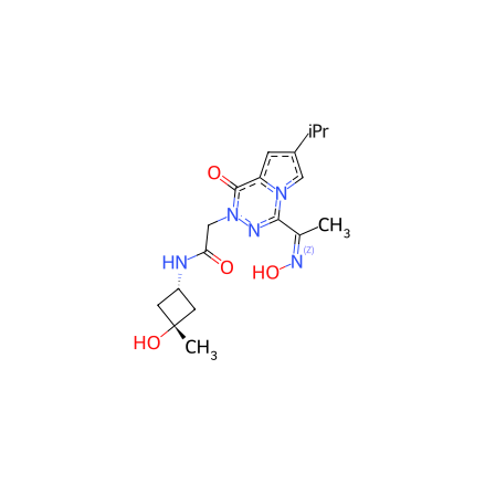 C/C(=N/O)c1nn(CC(=O)N[C@H]2C[C@@](C)(O)C2)c(=O)c2cc(C(C)C)cn12